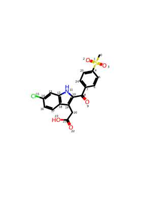 CS(=O)(=O)c1ccc(C(=O)c2[nH]c3cc(Cl)ccc3c2CC(=O)O)cc1